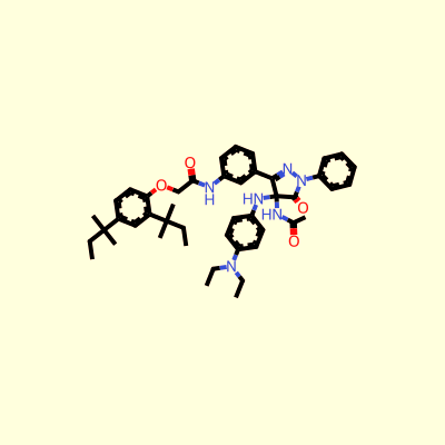 CCN(CC)c1ccc(NC2(NC(C)=O)C(=O)N(c3ccccc3)N=C2c2cccc(NC(=O)COc3ccc(C(C)(C)CC)cc3C(C)(C)CC)c2)cc1